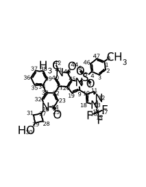 Cc1ccc(S(=O)(=O)n2c(-c3cnn(C(F)(F)F)c3)cc3c(-c4cc(=O)n(C5CC(O)C5)cc4-c4ccccc4)cn(C)c(=O)c32)cc1